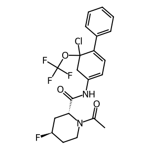 CC(=O)N1CC[C@@H](F)C[C@@H]1C(=O)NC1=CC=C(c2ccccc2)C(Cl)(OC(F)(F)F)C1